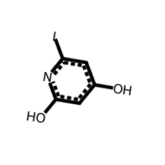 Oc1cc(O)nc(I)c1